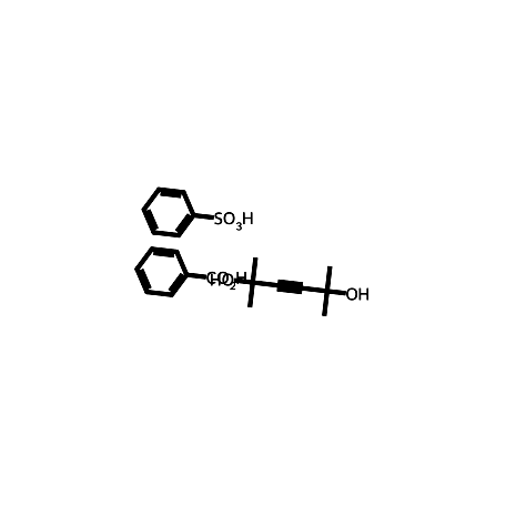 CC(C)(O)C#CC(C)(C)O.O=C(O)c1ccccc1.O=S(=O)(O)c1ccccc1